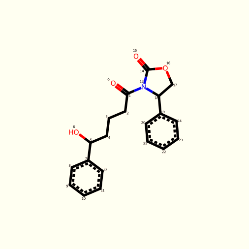 O=C(CCCC(O)c1ccccc1)N1C(=O)OCC1c1ccccc1